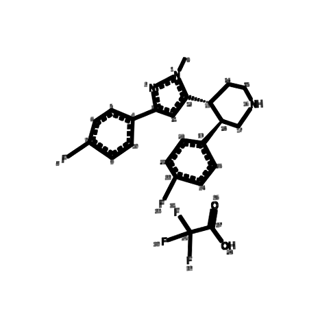 Cn1nc(-c2ccc(F)cc2)cc1[C@@H]1CCNC[C@H]1c1ccc(F)cc1.O=C(O)C(F)(F)F